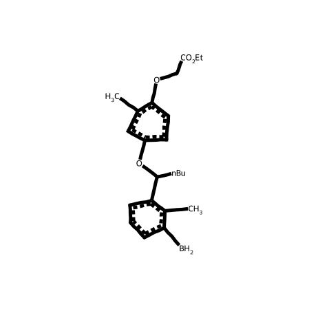 Bc1cccc(C(CCCC)Oc2ccc(OCC(=O)OCC)c(C)c2)c1C